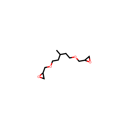 CC(CCOCC1CO1)CCOCC1CO1